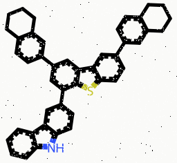 c1ccc2c(c1)[nH]c1ccc(-c3cc(-c4ccc5c(c4)CCCC5)cc4c3sc3ccc(-c5ccc6c(c5)CCCC6)cc34)cc12